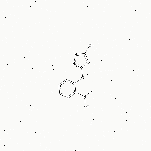 CC(=O)N(C)c1ccccc1Oc1nnc(Cl)s1